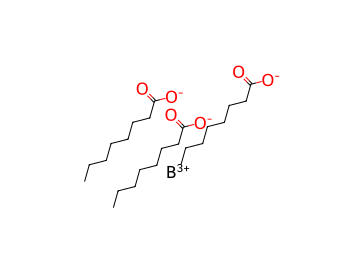 CCCCCCCC(=O)[O-].CCCCCCCC(=O)[O-].CCCCCCCC(=O)[O-].[B+3]